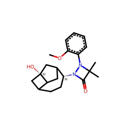 COc1ccccc1N1N([C@@H]2CCC3C[C@@]4(O)CC2CC34)C(=O)C1(C)C